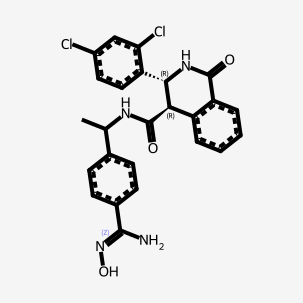 CC(NC(=O)[C@@H]1c2ccccc2C(=O)N[C@H]1c1ccc(Cl)cc1Cl)c1ccc(/C(N)=N/O)cc1